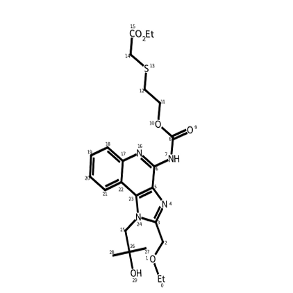 CCOCc1nc2c(NC(=O)OCCSCC(=O)OCC)nc3ccccc3c2n1CC(C)(C)O